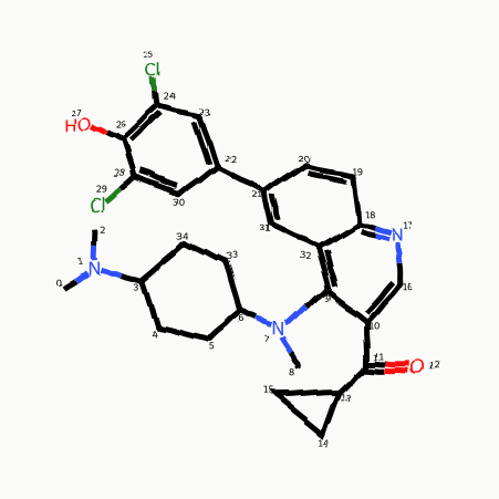 CN(C)C1CCC(N(C)c2c(C(=O)C3CC3)cnc3ccc(-c4cc(Cl)c(O)c(Cl)c4)cc23)CC1